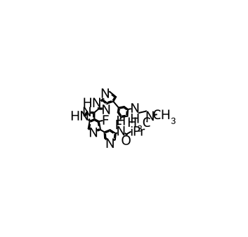 CC(C)C(=O)Nc1cncc(-c2ncc3[nH]nc(-c4nc5c(-c6cc(F)cc(NCCN(C)C)c6)ccnc5[nH]4)c3c2F)c1